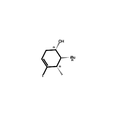 CC[C@@H](C)C1[C@H](C)C(I)=CC[C@@H]1O